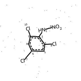 O=[N+]([O-])Nc1c(Cl)cc(Cl)cc1Cl